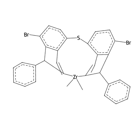 [CH3][Zr]1([CH3])[C]2=Cc3c(ccc(Br)c3C2c2ccccc2)Sc2ccc(Br)c3c2C=[C]1C3c1ccccc1